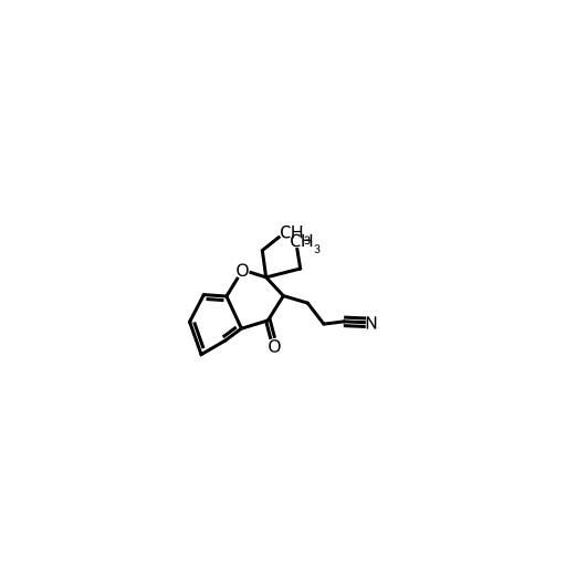 CCC1(CC)Oc2ccccc2C(=O)C1CCC#N